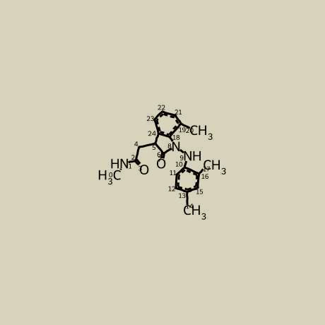 CNC(=O)CC1C(=O)N(Nc2ccc(C)cc2C)c2c(C)cccc21